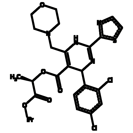 CC(C)OC(=O)[C@@H](C)OC(=O)C1=C(CN2CCOCC2)NC(c2nccs2)=NC1c1ccc(Cl)cc1Cl